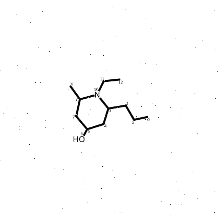 CCCC1CC(O)CC(C)N1CC